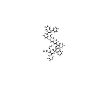 C=Cc1c(/C=C\C)nc(-n2c3ccccc3c3c4ccccc4c(-c4ccc5cc(-c6cc7c(c8ccccc68)c6ccccc6n7-c6ccccc6)ccc5c4)cc32)nc1-c1ccccc1